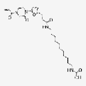 C=CC(=O)N1CCN(c2ccc(CCC(=O)NCCCCCCCCCCCNC(=O)O)o2)C(=O)C1